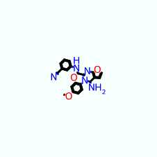 COc1ccc(N2C(C(=O)Nc3cccc(C#N)c3)=Nc3occc3C2N)cc1